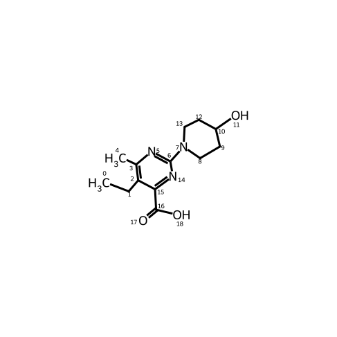 CCc1c(C)nc(N2CCC(O)CC2)nc1C(=O)O